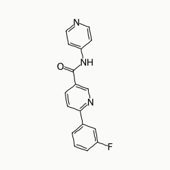 O=C(Nc1ccncc1)c1ccc(-c2cccc(F)c2)nc1